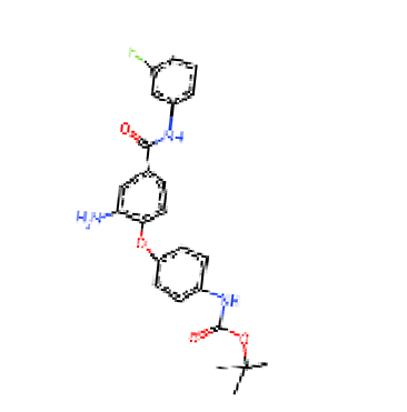 CC(C)(C)OC(=O)Nc1ccc(Oc2ccc(C(=O)Nc3cccc(F)c3)cc2N)cc1